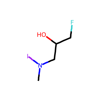 CN(I)CC(O)CF